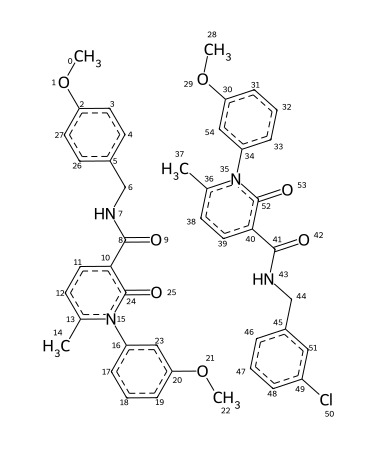 COc1ccc(CNC(=O)c2ccc(C)n(-c3cccc(OC)c3)c2=O)cc1.COc1cccc(-n2c(C)ccc(C(=O)NCc3cccc(Cl)c3)c2=O)c1